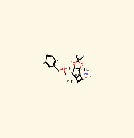 CC1(C)O[C@@H]2[C@@H](COCc3ccccc3)[C@@H]3C=C[C@]3(N)[C@@H]2O1